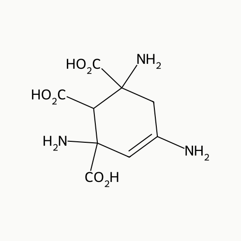 NC1=CC(N)(C(=O)O)C(C(=O)O)C(N)(C(=O)O)C1